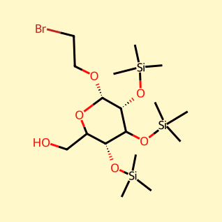 C[Si](C)(C)OC1[C@H](O[Si](C)(C)C)C(CO)O[C@H](OCCBr)[C@@H]1O[Si](C)(C)C